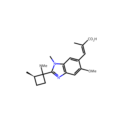 CNC1(c2nc3cc(OC)c(/C=C(\C)C(=O)O)cc3n2C)CC[C@H]1C